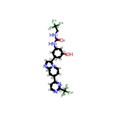 O=C(NCC(F)(F)F)Nc1cc(O)cc(-c2cnc3cc(-c4ccnc(C(F)(F)F)n4)ccn23)c1